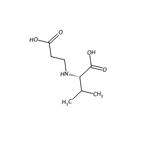 CC(C)[C@H](NCCC(=O)O)C(=O)O